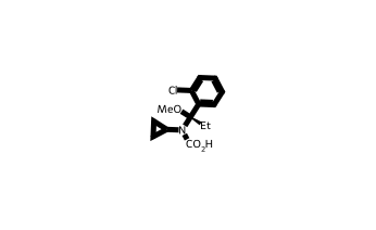 CC[C@@](OC)(c1ccccc1Cl)N(C(=O)O)C1CC1